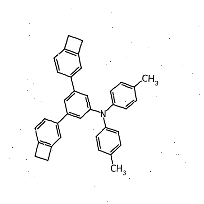 Cc1ccc(N(c2ccc(C)cc2)c2cc(-c3ccc4c(c3)CC4)cc(-c3ccc4c(c3)CC4)c2)cc1